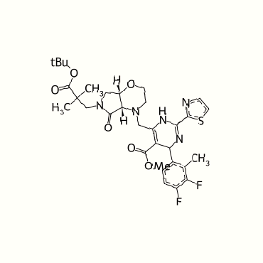 COC(=O)C1=C(CN2CCO[C@H]3CN(CC(C)(C)C(=O)OC(C)(C)C)C(=O)[C@H]32)NC(c2nccs2)=NC1c1ccc(F)c(F)c1C